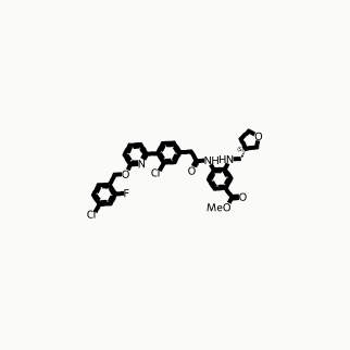 COC(=O)c1ccc(NC(=O)Cc2ccc(-c3cccc(OCc4ccc(Cl)cc4F)n3)c(Cl)c2)c(NC[C@@H]2CCOC2)c1